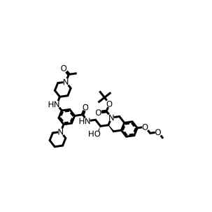 COCOc1ccc2c(c1)CN(C(=O)OC(C)(C)C)[C@H]([C@H](O)CNC(=O)c1cc(NC3CCN(C(C)=O)CC3)cc(N3CCCCC3)c1)C2